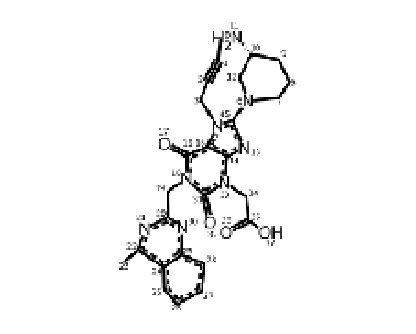 CC#CCn1c(N2CCC[C@@H](N)C2)nc2c1c(=O)n(Cc1nc(C)c3ccccc3n1)c(=O)n2CC(=O)O